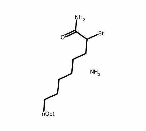 CCCCCCCCCCCCCCC(CC)C(N)=O.N